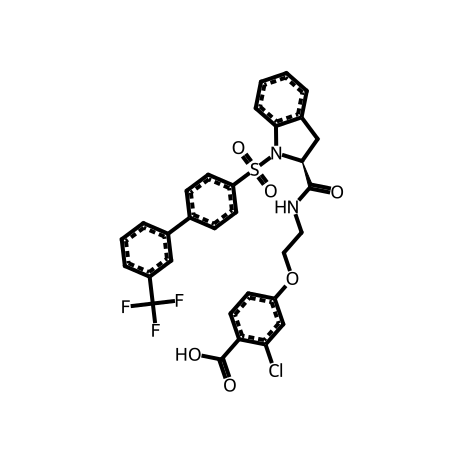 O=C(O)c1ccc(OCCNC(=O)[C@@H]2Cc3ccccc3N2S(=O)(=O)c2ccc(-c3cccc(C(F)(F)F)c3)cc2)cc1Cl